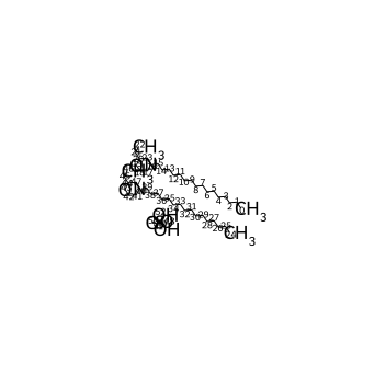 CCCCCCCCCCCCCCCCN1CCOC(CC)C1.CCCCCCCCCCCCCCCCN1CCOC(CC)C1.O=S(=O)(O)O